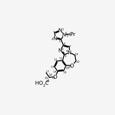 CC(C)n1ncnc1-c1cn2c(n1)-c1ccc(O[C@@H](C)C(=O)O)cc1OCC2